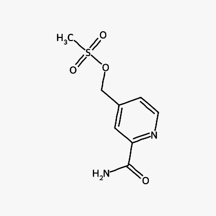 CS(=O)(=O)OCc1ccnc(C(N)=O)c1